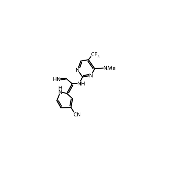 CNc1nc(N/C(C=N)=C2\C=C(C#N)C=CN2)ncc1C(F)(F)F